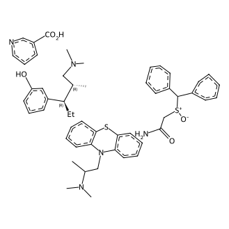 CC(CN1c2ccccc2Sc2ccccc21)N(C)C.CC[C@@H](c1cccc(O)c1)[C@@H](C)CN(C)C.NC(=O)C[S+]([O-])C(c1ccccc1)c1ccccc1.O=C(O)c1cccnc1